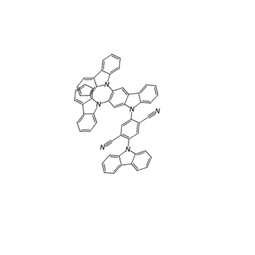 N#Cc1cc(-n2c3ccccc3c3cc(-n4c5ccccc5c5ccccc54)c(-n4c5ccccc5c5ccccc54)cc32)c(C#N)cc1-n1c2ccccc2c2ccccc21